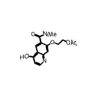 CNC(=O)c1cc2c(O)ccnc2cc1OCCOC(C)=O